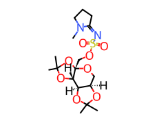 CN1CCC/C1=N/S(=O)(=O)OC[C@@]12OC[C@H]3OC(C)(C)O[C@H]3[C@@H]1OC(C)(C)O2